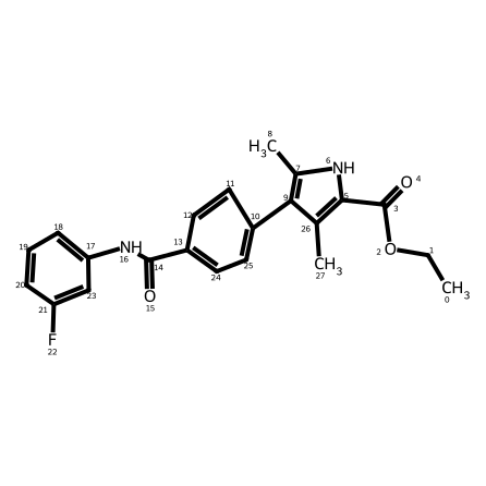 CCOC(=O)c1[nH]c(C)c(-c2ccc(C(=O)Nc3cccc(F)c3)cc2)c1C